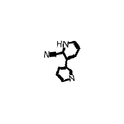 N#CC1NC=CC=C1c1cccnc1